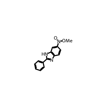 CO[N+](=O)c1ccc2nc(-c3ccccc3)[nH]c2c1